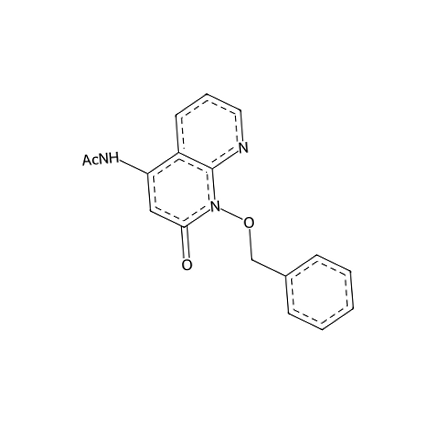 CC(=O)Nc1cc(=O)n(OCc2ccccc2)c2ncccc12